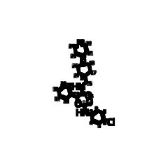 O=C(Nc1ccc(Cl)cc1)OC(C(=O)NCC1CCN(c2ccncc2)CC1)c1ccccc1